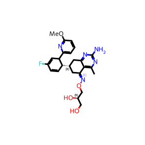 COc1cccc(C2C=C(F)C=CC2[C@H]2C/C(=N\OC[C@H](O)CO)c3c(C)nc(N)nc3C2)n1